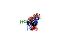 COC(=O)c1ccc(N2CCN(S(C)(=O)=O)CC2)nc1.CS(=O)(=O)N1CCNCC1.Cl